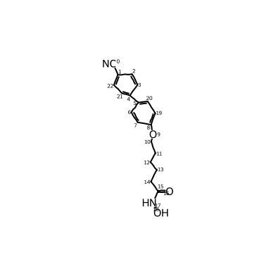 N#Cc1ccc(-c2ccc(OCCCCCC(=O)NO)cc2)cc1